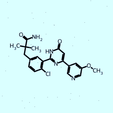 COc1cncc(-c2cc(=O)[nH]c(-c3cc(CC(C)(C)C(N)=O)ccc3Cl)n2)c1